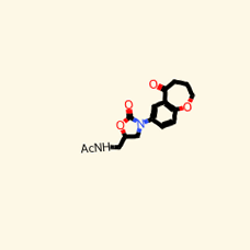 CC(=O)NCC1CN(c2ccc3c(c2)C(=O)CCCO3)C(=O)O1